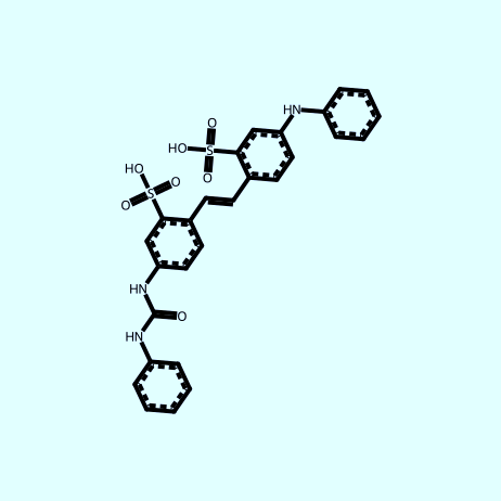 O=C(Nc1ccccc1)Nc1ccc(C=Cc2ccc(Nc3ccccc3)cc2S(=O)(=O)O)c(S(=O)(=O)O)c1